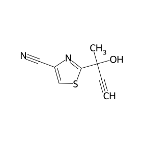 C#CC(C)(O)c1nc(C#N)cs1